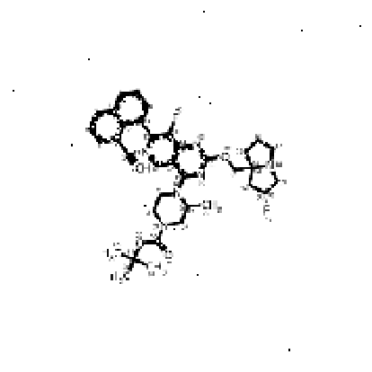 C#Cc1cccc2cccc(-c3ncc4c(N5CCN(C(=O)OC(C)(C)C)C[C@@H]5C)nc(OC[C@@]56CCCN5C[C@H](F)C6)nc4c3F)c12